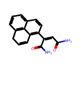 NC(=O)/C=C(\C(N)=O)c1ccc2cccc3c2c1C=CC3